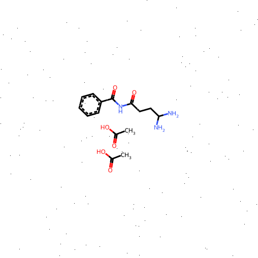 CC(=O)O.CC(=O)O.NC(N)CCC(=O)NC(=O)c1ccccc1